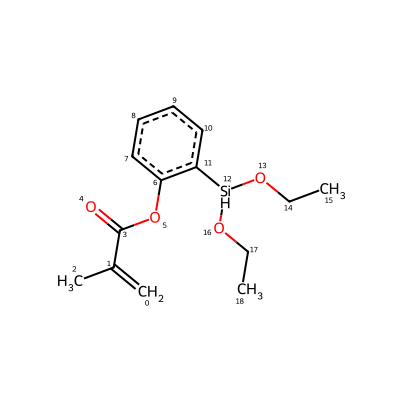 C=C(C)C(=O)Oc1ccccc1[SiH](OCC)OCC